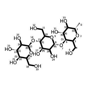 C[C@@H]1OC(CO)[C@@H](O[C@H]2OC(CO)[C@@H](O[C@H]3OC(CO)[C@@H](O)[C@H](O)C3O)[C@H](O)C2O)[C@H](O)C1O